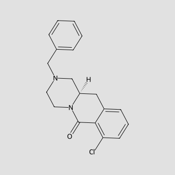 O=C1c2c(Cl)cccc2C[C@@H]2CN(Cc3ccccc3)CCN12